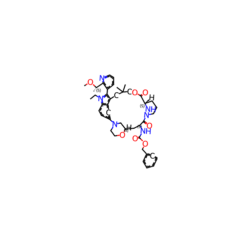 CCn1c(-c2cccnc2[C@H](C)OC)c2c3cc(ccc31)N1CCO[C@@H](C[C@H](NC(=O)OCc3ccccc3)C(=O)N3CCC[C@H](N3)C(=O)OCC(C)(C)C2)C1